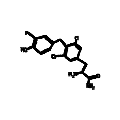 CC(C)c1cc(Cc2c(Cl)cc(CC(N)C(N)=O)cc2Cl)ccc1O